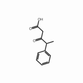 CC(C(=O)CC(=O)O)c1ccccc1